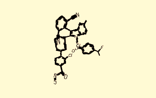 Cc1ccc2c(c1)c(-c1c(C#N)cccc1C#N)c(-c1cccc(-c3ccc(C(=O)N=O)cc3Cl)c1)n2[S+]([O-])c1ccc(C(C)F)cc1